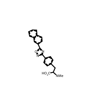 CNC(Cc1ccc(-c2noc(-c3ccc4ccccc4c3)n2)cc1)C(=O)O